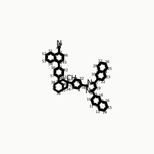 CC1(c2ccc(-c3nc(-c4ccc5ccccc5c4)cc(-c4ccc5ccccc5c4)n3)cc2)CC2CCCC(c3ccc(-c4ccc(C#N)c5ccccc45)cc3)(C2)C1